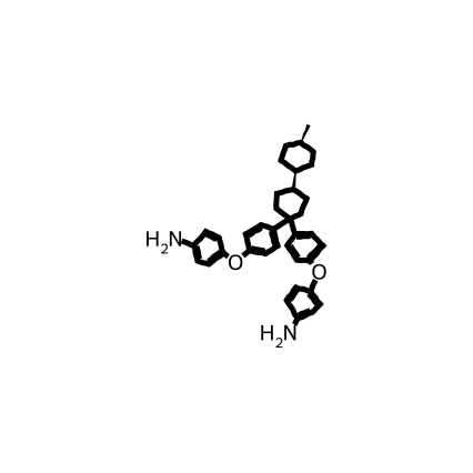 C[C@H]1CC[C@@H](C2CCC(c3ccc(Oc4ccc(N)cc4)cc3)(c3ccc(Oc4ccc(N)cc4)cc3)CC2)CC1